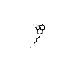 CN(C)CCCCN1Cc2cccc3[nH]cc(c23)C1